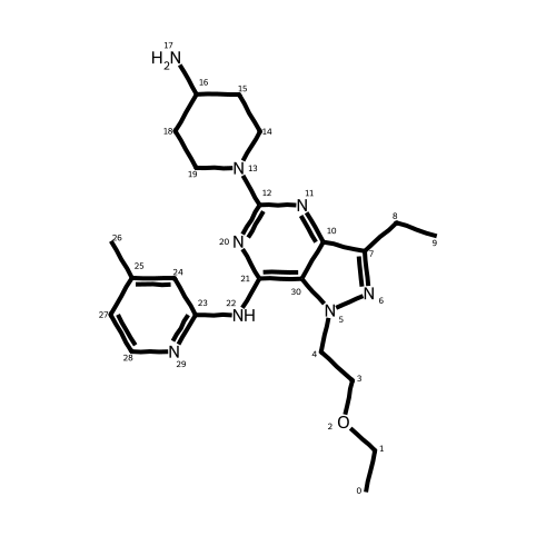 CCOCCn1nc(CC)c2nc(N3CCC(N)CC3)nc(Nc3cc(C)ccn3)c21